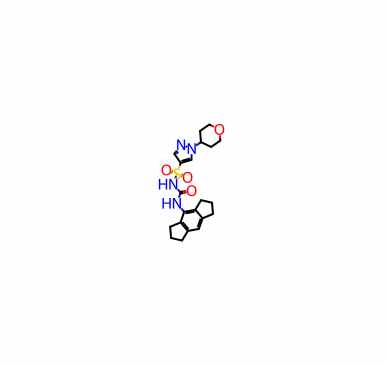 O=C(Nc1c2c(cc3c1CCC3)CCC2)NS(=O)(=O)c1cnn(C2CCOCC2)c1